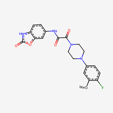 COc1cc(N2CCN(C(=O)C(=O)Nc3ccc4[nH]c(=O)oc4c3)CC2)ccc1F